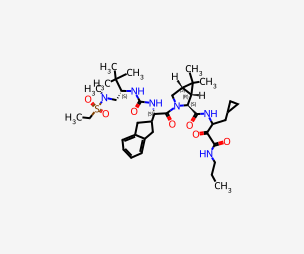 CCCNC(=O)C(=O)C(CC1CC1)NC(=O)[C@@H]1[C@@H]2[C@H](CN1C(=O)[C@@H](NC(=O)N[C@H](CN(C)S(=O)(=O)CC)C(C)(C)C)C1Cc3ccccc3C1)C2(C)C